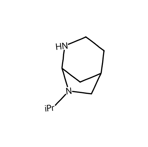 CC(C)N1CC2CCNC1C2